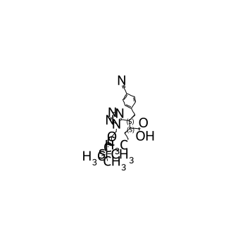 CCC[C@H](C(=O)O)[C@H](Cc1ccc(C#N)cc1)c1nnnn1COCC[Si](C)(C)C